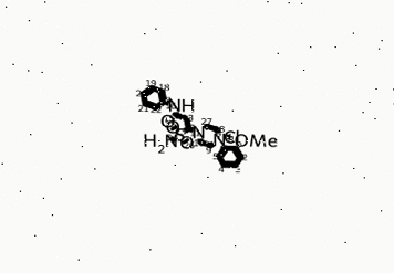 COc1ccccc1[N+]1(Cl)CCN(C(CC(=O)Nc2ccccc2)S(N)(=O)=O)CC1